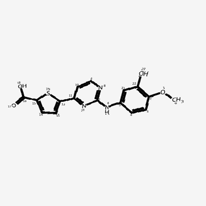 COc1ccc(Nc2nccc(-c3ccc(C(=O)O)s3)n2)cc1O